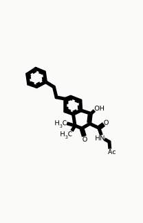 CC(=O)CNC(=O)C1=C(O)c2ccc(CCc3ccccc3)cc2C(C)(C)C1=O